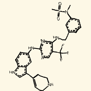 CN(c1cccc(CNc2nc(Nc3ccc4[nH]cc(C5=CCNCC5)c4c3)ncc2C(F)(F)F)c1)S(C)(=O)=O